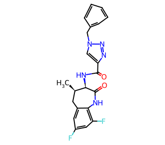 C[C@@H]1Cc2cc(F)cc(F)c2NC(=O)[C@@H]1NC(=O)c1cn(Cc2ccccc2)nn1